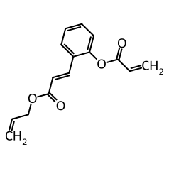 C=CCOC(=O)/C=C/c1ccccc1OC(=O)C=C